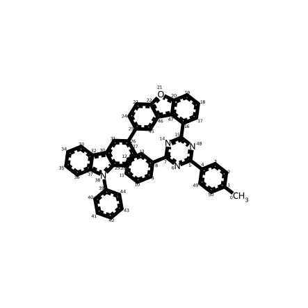 Cc1ccc(-c2nc(-c3ccccc3)nc(-c3cccc4oc5ccc(-c6ccc7c(c6)c6ccccc6n7-c6ccccc6)cc5c34)n2)cc1